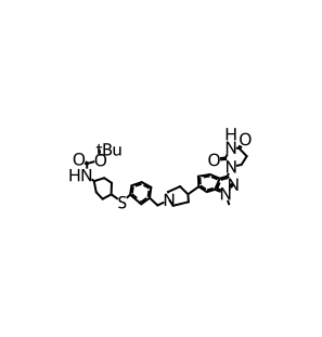 Cn1nc(N2CCC(=O)NC2=O)c2ccc(C3CCN(Cc4cccc(SC5CCC(NC(=O)OC(C)(C)C)CC5)c4)CC3)cc21